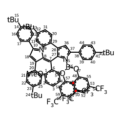 COc1ccccc1/C(=C1/N=C(c2ccc(C(C)(C)C)cc2)C=C1c1ccc(C(C)(C)C)cc1)c1c(-c2ccc(C(C)(C)C)cc2)cc(-c2ccc(C(C)(C)C)cc2)n1B(Oc1cc(C(F)(F)F)cc(C(F)(F)F)c1)Oc1cc(C(F)(F)F)cc(C(F)(F)F)c1